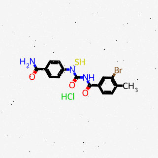 Cc1ccc(C(=O)NC(=O)N(S)c2ccc(C(N)=O)cc2)cc1Br.Cl